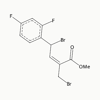 COC(=O)C(=CC(Br)c1ccc(F)cc1F)CBr